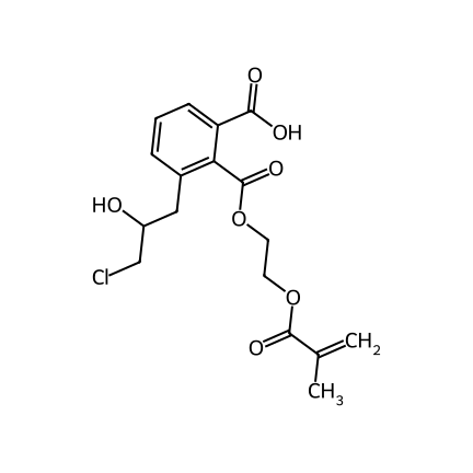 C=C(C)C(=O)OCCOC(=O)c1c(CC(O)CCl)cccc1C(=O)O